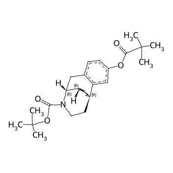 CC(C)(C)OC(=O)N1CC[C@]23CCCC[C@H]2[C@H]1Cc1ccc(OC(=O)C(C)(C)C)cc13